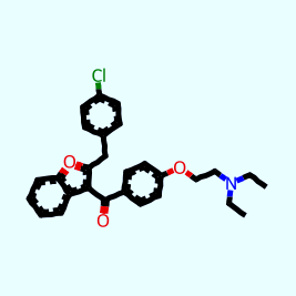 CCN(CC)CCOc1ccc(C(=O)c2c(Cc3ccc(Cl)cc3)oc3ccccc23)cc1